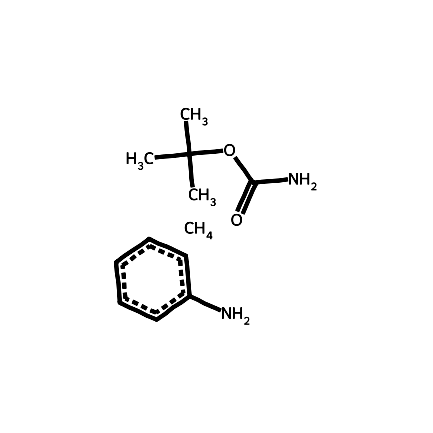 C.CC(C)(C)OC(N)=O.Nc1ccccc1